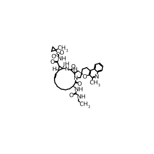 CCNC(=O)N[C@H]1CCCCC/C=C\[C@@H]2C(C(=O)NS(=O)(=O)C3(C)CC3)[C@]2(I)NC(=O)[C@@H]2C[C@]3(CCc4c(c(C)nc5ccccc45)O3)CN2C1=O